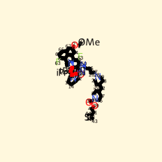 COCOc1cc(-c2ncc3c(N4CC5CCC(C4)N5C(=O)OC(C)(C)C)nc(CCCN4CCC(CC5CCN(C(=O)OCC[Si](C)(C)C)CC5)CC4)nc3c2F)c2c(C#C[Si](C(C)C)(C(C)C)C(C)C)c(F)ccc2c1